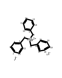 [I-].[I-].c1ccc([CH2][Sb+2]([CH2]c2ccccc2)[CH2]c2ccccc2)cc1